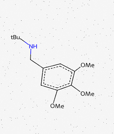 COc1cc(CNC(C)(C)C)cc(OC)c1OC